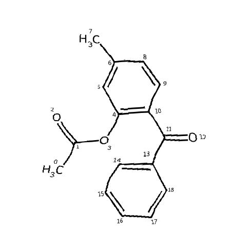 CC(=O)Oc1cc(C)ccc1C(=O)c1ccccc1